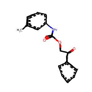 Cc1cccc(NC(=O)OCC(=O)c2ccccc2)c1